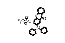 O=S(=O)([O-])C(F)(F)F.O=c1c2ccccc2sc2ccc([S+](c3ccccc3)c3ccccc3)cc12